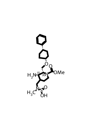 COC(=O)N1CCC(CN(C)S(=O)O)[C@H](N)[C@@H]1CO[C@H]1CC[C@@H](c2ccccc2)CC1